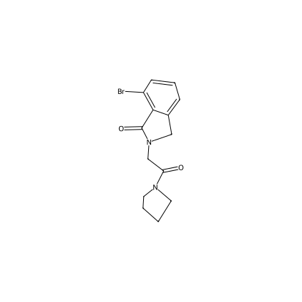 O=C(CN1Cc2cccc(Br)c2C1=O)N1CCCC1